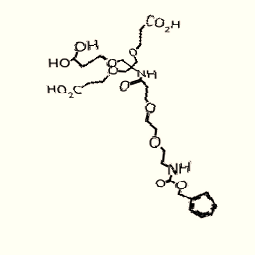 O=C(O)CCOCC(COCCC(=O)O)(COCCC(O)O)NC(=O)CCOCCOCCNC(=O)OCc1ccccc1